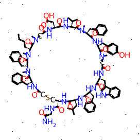 CCCC[C@H]1C(=O)N(C)CC(=O)N[C@@H](CC(=O)O)C(=O)N[C@@H](C(C)C)C(=O)N(C)[C@@H](Cc2ccccc2)C(=O)N[C@@H](Cc2ccc(O)cc2)C(=O)N(C)CC(=O)N[C@@H](Cc2c[nH]c3ccccc23)C(=O)N[C@@H](Cc2ccccc2)C(=O)N[C@@H](CC(C)C)C(=O)N[C@H](C(=O)NCC(N)=O)CSCC(=O)N[C@@H](Cc2ccccc2)C(=O)N(C)[C@@H](Cc2ccccc2)C(=O)N1C